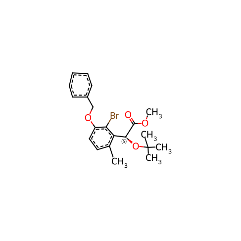 COC(=O)[C@@H](OC(C)(C)C)c1c(C)ccc(OCc2ccccc2)c1Br